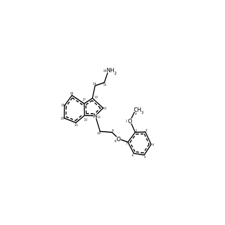 COc1ccccc1OCCn1cc(CCN)c2ccccc21